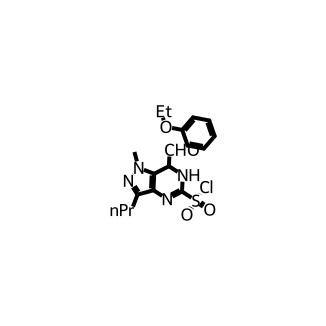 CCCc1nn(C)c2c1N=C(S(=O)(=O)Cl)NC2C=O.CCOc1ccccc1